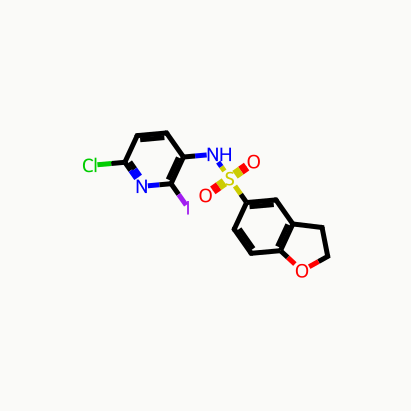 O=S(=O)(Nc1ccc(Cl)nc1I)c1ccc2c(c1)CCO2